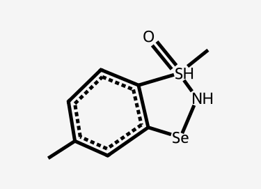 Cc1ccc2c(c1)[Se]N[SH]2(C)=O